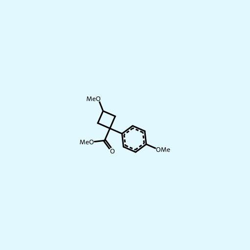 COC(=O)C1(c2ccc(OC)cc2)CC(OC)C1